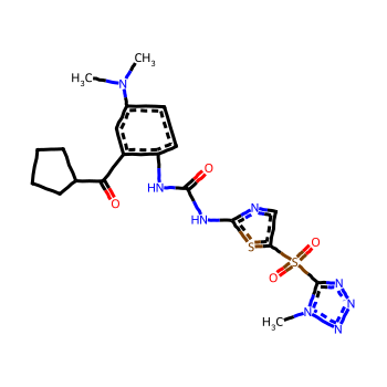 CN(C)c1ccc(NC(=O)Nc2ncc(S(=O)(=O)c3nnnn3C)s2)c(C(=O)C2CCCC2)c1